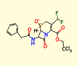 O=C(Cc1ccccc1)NC1C(=O)N2C(C(=O)OCC(Cl)(Cl)Cl)=C(C(F)F)C[S+]([O-])[C@H]12